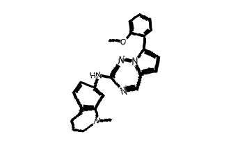 COc1ccccc1-c1ccc2cnc(Nc3ccc4c(c3)N(C)CCC4)nn12